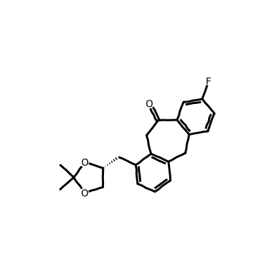 CC1(C)OC[C@@H](Cc2cccc3c2CC(=O)c2cc(F)ccc2C3)O1